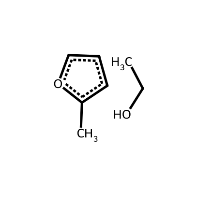 CCO.Cc1ccco1